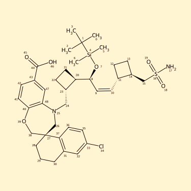 CC(C)(C)[Si](C)(C)O[C@@H](/C=C\[C@@H]1CC[C@H]1CS(N)(=O)=O)[C@@H]1CC[C@H]1CN1C[C@@]2(CCCc3cc(Cl)ccc32)COc2ccc(C(=O)O)cc21